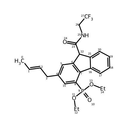 CC=CCc1cc2c(c(P(=O)(OCC)OCC)c1)-c1ccccc1C2C(=O)NCC(F)(F)F